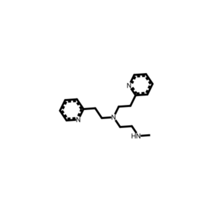 CNCCN(CCc1ccccn1)CCc1ccccn1